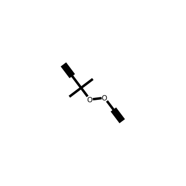 C#COOC(C)(C)C#C